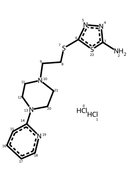 Cl.Cl.Nc1nnc(SCCN2CCN(c3ccccn3)CC2)s1